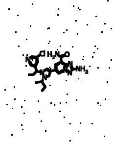 CCC(c1cncc(Cl)c1)N1C=C(c2cc(C(N)=O)c3nc(N)nn3c2)CN1C(C)CC